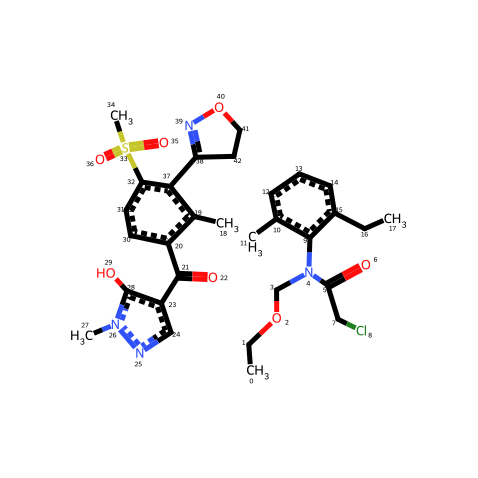 CCOCN(C(=O)CCl)c1c(C)cccc1CC.Cc1c(C(=O)c2cnn(C)c2O)ccc(S(C)(=O)=O)c1C1=NOCC1